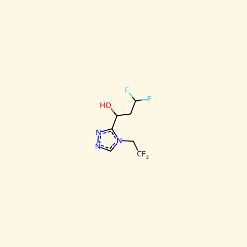 OC(CC(F)F)c1nncn1CC(F)(F)F